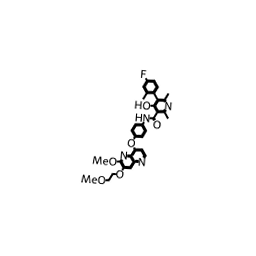 COCCOc1cc2nccc(Oc3ccc(NC(=O)c4c(C)nc(C)c(-c5ccc(F)cc5C)c4O)cc3)c2nc1OC